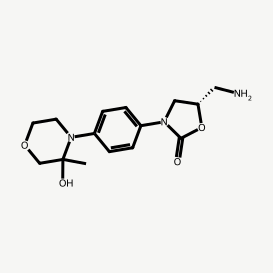 CC1(O)COCCN1c1ccc(N2C[C@H](CN)OC2=O)cc1